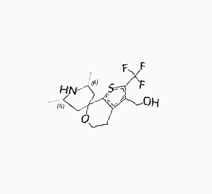 C[C@@H]1CC2(C[C@H](C)N1)OCCc1c2sc(C(F)(F)F)c1CO